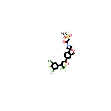 CS(=O)(=O)CC(=O)N1CC2(C1)OCc1cc(C(=O)C=C(c3cc(Cl)c(F)c(Cl)c3)C(F)(F)F)ccc12